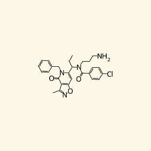 CCC(c1cc2onc(C)c2c(=O)n1Cc1ccccc1)N(CCCN)C(=O)c1ccc(Cl)cc1